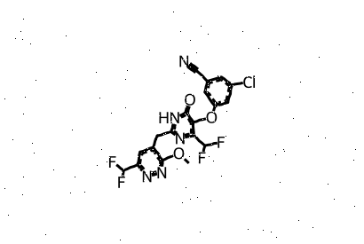 COc1nnc(C(F)F)cc1Cc1nc(C(F)F)c(Oc2cc(Cl)cc(C#N)c2)c(=O)[nH]1